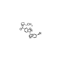 CCC1CCCN1C(=O)c1ccc2c(-c3cnc4ccc(C#N)cn34)noc2c1